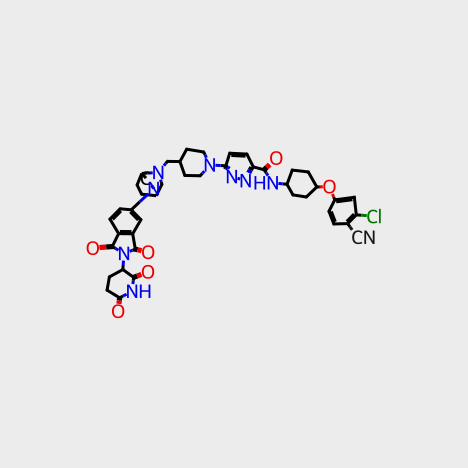 N#Cc1ccc(OC2CCC(NC(=O)c3ccc(N4CCC(CN5CC6CCC5CN6c5ccc6c(c5)C(=O)N(C5CCC(=O)NC5=O)C6=O)CC4)nn3)CC2)cc1Cl